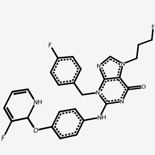 O=c1nc(Nc2ccc(OC3NC=CC=C3F)cc2)n(Cc2ccc(F)cc2)c2ncn(CCCF)c12